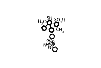 Cc1c(S)ccc(-c2ccccc2)c1-c1ccccc1.Cc1ccc(S(=O)(=O)O)cc1.[N-]=[N+]=C(S(=O)(=O)C1CCCCC1)S(=O)(=O)C1CCCCC1